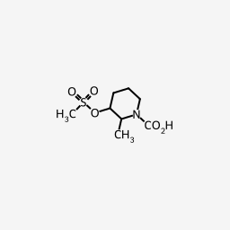 CC1C(OS(C)(=O)=O)CCCN1C(=O)O